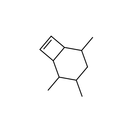 CC1CC(C)C2C=CC2C1C